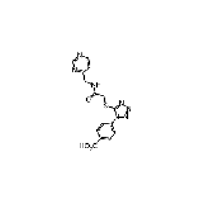 O=C(CSc1nnnn1-c1ccc(C(=O)O)cc1)NCc1ccncn1